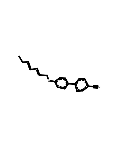 CC/C=C/C=C/COc1ccc(-c2ccc(C#N)cc2)cc1